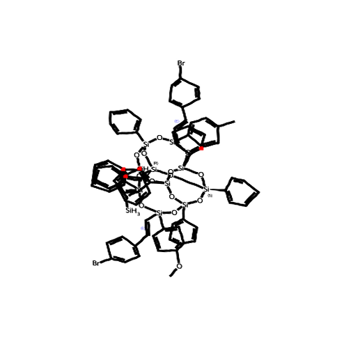 COc1ccc([Si]2(/C=C/c3ccc(Br)cc3)O[Si](O[SiH3])(c3ccccc3)O[Si@]3(c4ccccc4)O[Si]4(c5ccccc5)O[SiH](c5ccccc5)O[Si]5(c6ccccc6)O[Si](c6ccccc6)(O2)O[Si@@](c2ccccc2)(O[Si](c2ccccc2)(O[Si](/C=C/c2ccc(Br)cc2)(c2ccc(C)cc2)O4)O5)O3)cc1